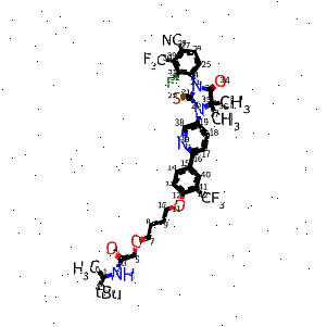 CC(NC(=O)COCCCCOc1ccc(-c2ccc(N3C(=S)N(c4ccc(C#N)c(C(F)(F)F)c4F)C(=O)C3(C)C)cn2)cc1C(F)(F)F)C(C)(C)C